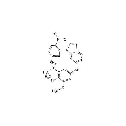 COc1cc(Nc2ncc3ccn(-c4cc(C)ccc4[N+](=O)[O-])c3n2)cc(OC)c1OC